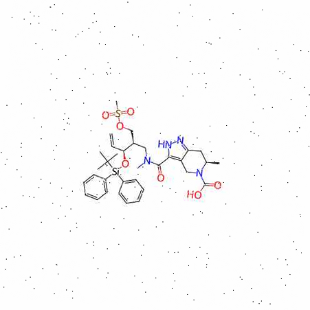 C=C[C@H](O[Si](c1ccccc1)(c1ccccc1)C(C)(C)C)[C@@H](COS(C)(=O)=O)CN(C)C(=O)c1[nH]nc2c1CN(C(=O)O)[C@H](C)C2